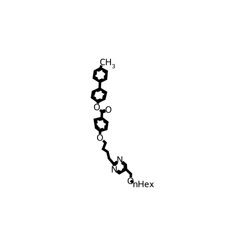 [CH2+][CH-]CCCCOCc1cnc(CCCCOc2ccc(C(=O)Oc3ccc(-c4ccc(C)cc4)cc3)cc2)nc1